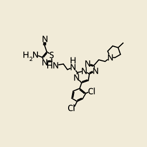 CC1CCN(CCc2nc3cc(-c4ccc(Cl)cc4Cl)nc(NCCNc4nc(N)c(C#N)s4)n3n2)CC1